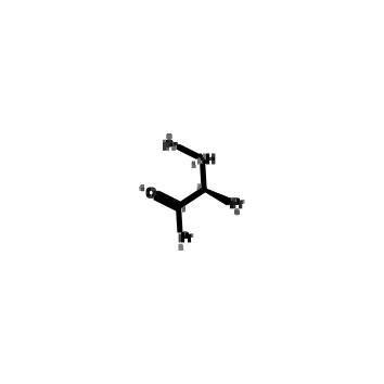 CC(C)N[C@H](C(=O)C(C)C)C(C)C